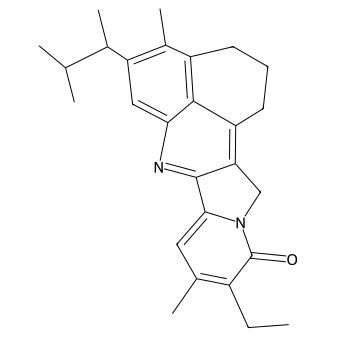 CCc1c(C)cc2n(c1=O)Cc1c-2nc2cc(C(C)C(C)C)c(C)c3c2c1CCC3